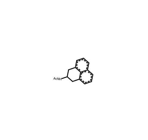 CC(=O)NC1Cc2cccc3cccc(c23)C1